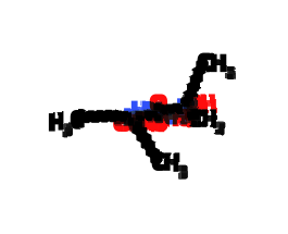 CCCCCCCCCC[C@H](O)CN(CCCC[C@@H]1NC(=O)[C@@H](CCCCN(C[C@@H](O)CCCCCCCCCC)C[C@@H](C)O)NC1=O)C[C@@H](O)CCCCCCCCCC